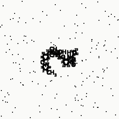 Cc1ccc(Oc2ccc(CC(C)(C)NC[C@H](O)COc3cccc([N+](=O)[O-])c3NCC3CCC3)cc2)nc1